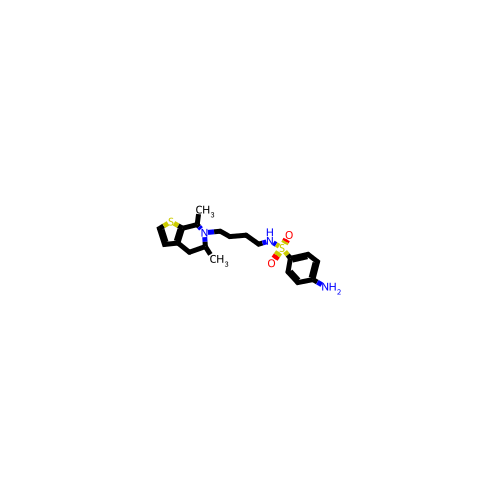 CC1Cc2ccsc2C(C)N1CCCCNS(=O)(=O)c1ccc(N)cc1